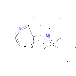 CC(C)(C)Nc1cccnc1